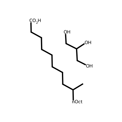 CCCCCCCCC(C)CCCCCCCC(=O)O.OCC(O)CO